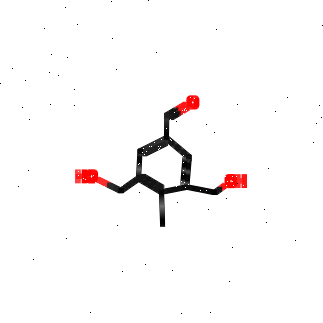 Cc1c(CO)cc(C=O)cc1CO